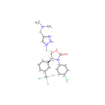 CN(C)Cc1cn(C[C@@H]2OC(=O)N(c3ccc(Cl)cc3)[C@H]2c2cccc(C(F)(F)F)c2)nn1